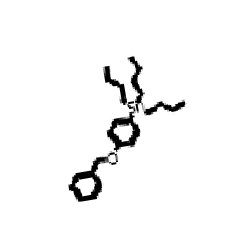 CCC[CH2][Sn]([CH2]CCC)([CH2]CCC)[c]1ccc(OCc2ccccc2)cc1